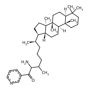 CC(CCC[C@@H](C)[C@H]1CC[C@]2(C)[C@@H]1CC[C@@H]1[C@@]3(C)CCCC(C)(C)[C@@H]3CC[C@]12C)C(N)C(=O)c1cccnc1